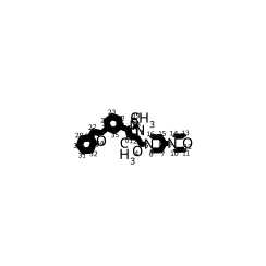 Cc1c(C(=O)N2CCC(N3CCOCC3)CC2)nn(C)c1-c1cccc(-c2cc3ccccc3o2)c1